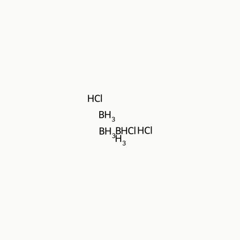 B.B.B.Cl.Cl.Cl